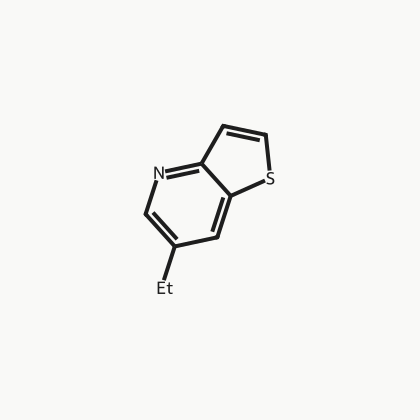 CCc1cnc2ccsc2c1